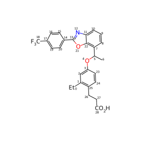 CCc1cc(OC(C)c2cccc3nc(-c4ccc(C(F)(F)F)cc4)oc23)ccc1CCC(=O)O